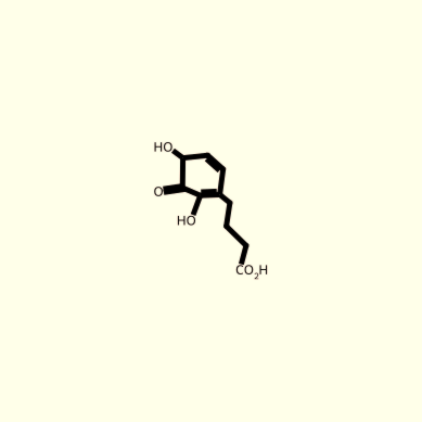 O=C(O)CCCC1=C(O)C(=O)C(O)C=C1